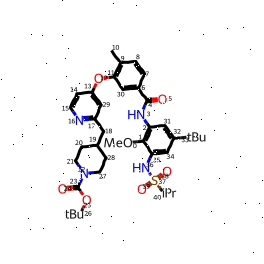 COc1c(NC(=O)c2ccc(C)c(Oc3ccnc(CC4CCN(C(=O)OC(C)(C)C)CC4)c3)c2)cc(C(C)(C)C)cc1NS(=O)(=O)C(C)C